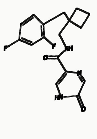 O=C(NCC1(Cc2ccc(F)cc2F)CCC1)c1c[nH]c(=O)cn1